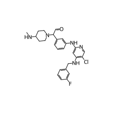 CNC1CCN(C(C=O)c2cccc(Nc3cc(NCc4cccc(F)c4)c(Cl)cn3)c2)CC1